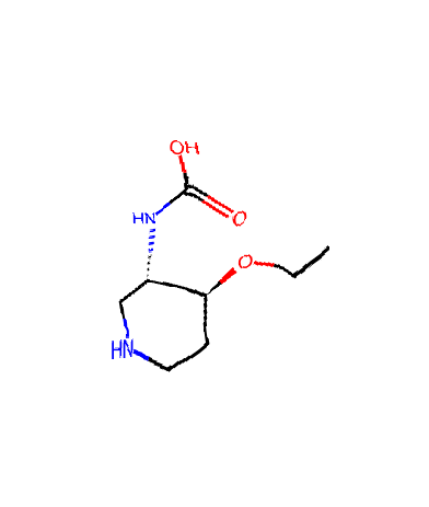 CCO[C@H]1CCNC[C@@H]1NC(=O)O